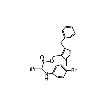 CC(C)C(Nc1ccc(Br)cc1)C(=O)OCc1[nH]ccc1Cc1ccccc1